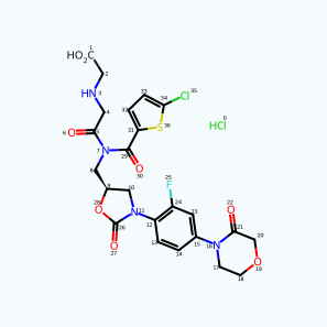 Cl.O=C(O)CNCC(=O)N(C[C@H]1CN(c2ccc(N3CCOCC3=O)cc2F)C(=O)O1)C(=O)c1ccc(Cl)s1